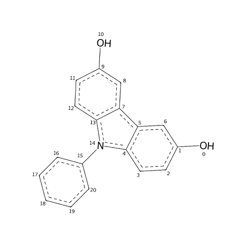 Oc1ccc2c(c1)c1cc(O)ccc1n2-c1ccccc1